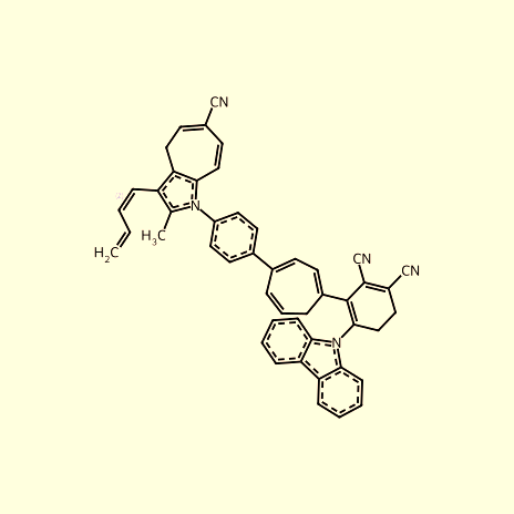 C=C/C=C\c1c2c(n(-c3ccc(C4=CC=C(C5=C(n6c7ccccc7c7ccccc76)CCC(C#N)=C5C#N)CC=C4)cc3)c1C)C=CC(C#N)=CC2